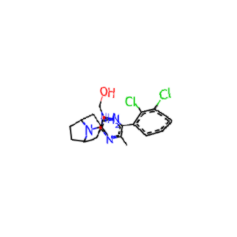 Cc1nc(N2C3CCC2CC(C)(N)C3)c(CO)nc1-c1cccc(Cl)c1Cl